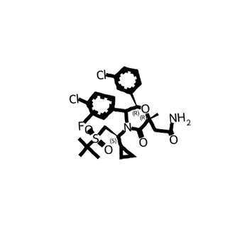 CC(C)(C)S(=O)(=O)C[C@H](C1CC1)N1C(=O)[C@@](C)(CC(N)=O)O[C@H](c2cccc(Cl)c2)C1c1ccc(Cl)c(F)c1